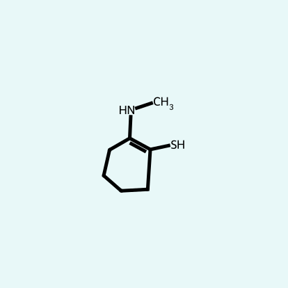 CNC1=C(S)CCCC1